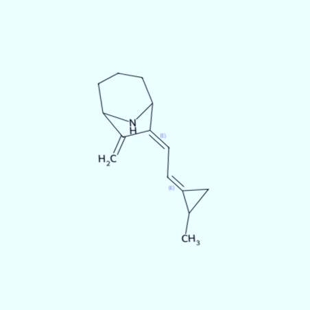 C=C1/C(=C\C=C2/CC2C)C2CCCC1N2